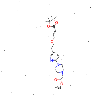 CC(C)(C)OC(=O)CN1CCN(c2ccc(CCOC/C=C/B3OC(C)(C)C(C)(C)O3)cn2)CC1